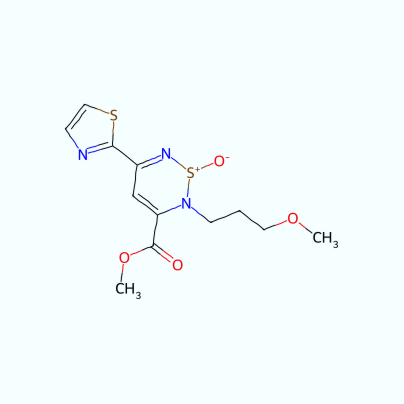 COCCCN1C(C(=O)OC)=CC(c2nccs2)=N[S+]1[O-]